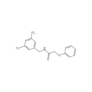 O=C(CSc1ccccc1)NCc1cc(C(F)(F)F)cc(C(F)(F)F)c1